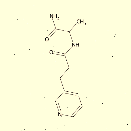 CC(NC(=O)CCc1cccnc1)C(N)=O